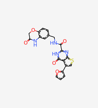 O=C1COc2ccc(CNC(=O)c3nc4scc(-c5ccco5)c4c(=O)[nH]3)cc2N1